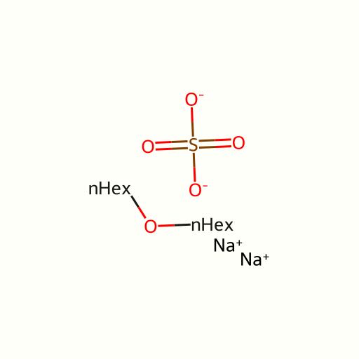 CCCCCCOCCCCCC.O=S(=O)([O-])[O-].[Na+].[Na+]